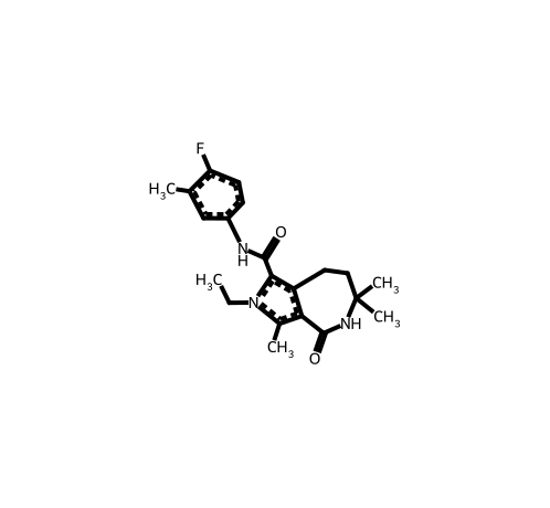 CCn1c(C)c2c(c1C(=O)Nc1ccc(F)c(C)c1)CCC(C)(C)NC2=O